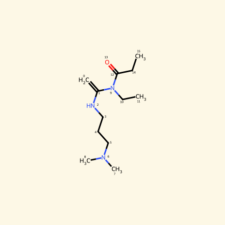 C=C(NCCCN(C)C)N(CC)C(=O)CC